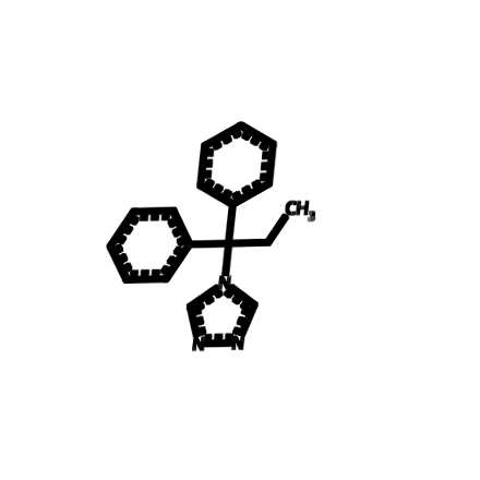 CCC(c1ccccc1)(c1ccccc1)n1cnnc1